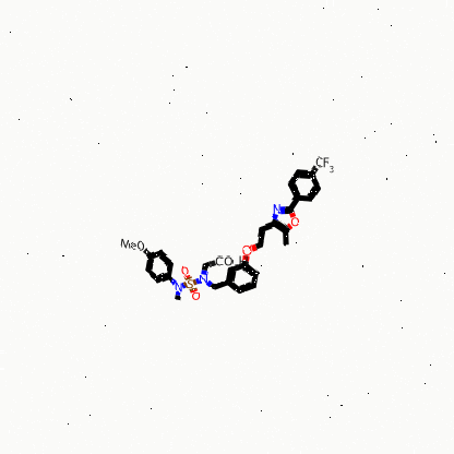 COc1ccc(N(C)S(=O)(=O)N(CC(=O)O)Cc2cccc(OCCc3nc(-c4ccc(C(F)(F)F)cc4)oc3C)c2)cc1